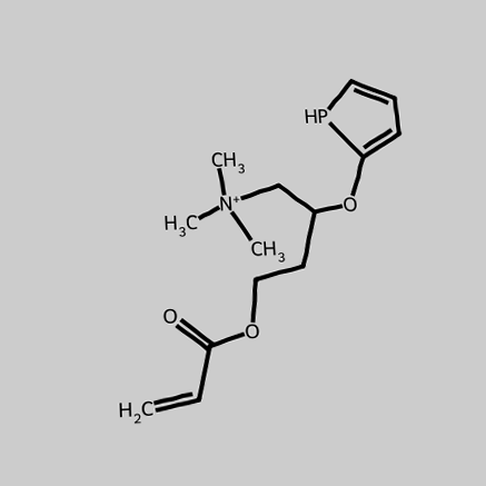 C=CC(=O)OCCC(C[N+](C)(C)C)Oc1ccc[pH]1